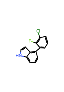 Fc1c(Cl)cccc1-c1cccc2[nH]ccc12